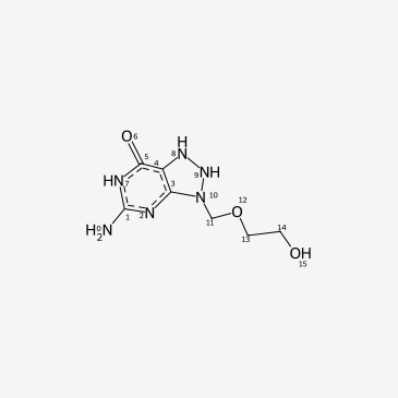 Nc1nc2c(c(=O)[nH]1)NNN2COCCO